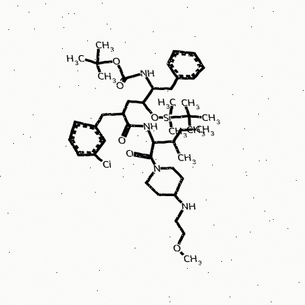 CCC(C)C(NC(=O)C(Cc1cccc(Cl)c1)CC(O[Si](C)(C)C(C)(C)C)C(Cc1ccccc1)NC(=O)OC(C)(C)C)C(=O)N1CCC(NCCOC)CC1